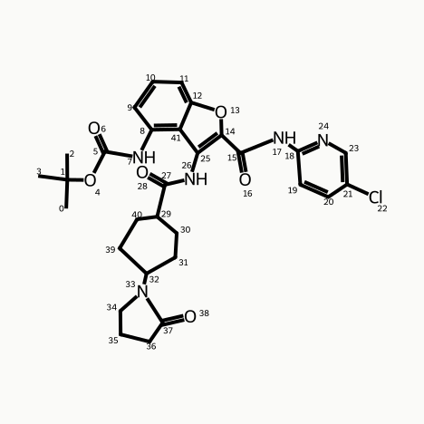 CC(C)(C)OC(=O)Nc1cccc2oc(C(=O)Nc3ccc(Cl)cn3)c(NC(=O)C3CCC(N4CCCC4=O)CC3)c12